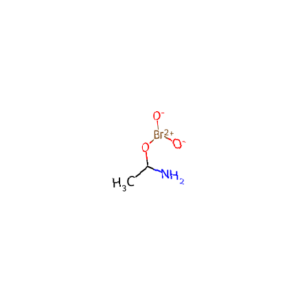 CC(N)O[Br+2]([O-])[O-]